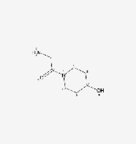 NCC(=O)N1CCC(O)CC1